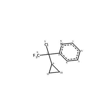 FC(F)(F)C(Cl)(c1ccccn1)C1CC1